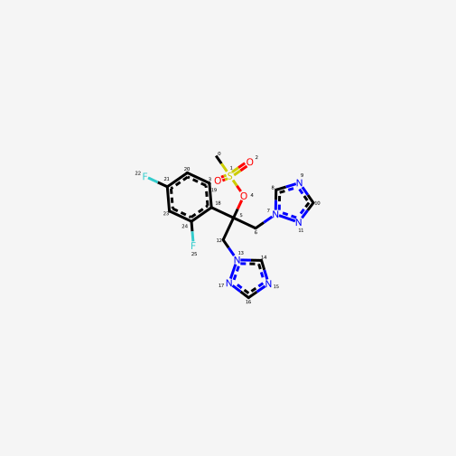 CS(=O)(=O)OC(Cn1cncn1)(Cn1cncn1)c1ccc(F)cc1F